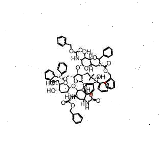 CC(C)(C[C@H]1[C@H](O[C@@H]2[C@H]3OC(=O)N[C@@H]3C[C@H](N)[C@H]2O[C@H]2O[C@H](CO)[C@@H](O)C[C@H]2NC(=O)OCc2ccccc2)O[C@H](CO[Si](c2ccccc2)(c2ccccc2)C(C)(C)C)[C@H]1O[C@H]1O[C@H]2CN(C(=O)OCc3ccccc3)C(c3ccccc3)O[C@H]2[C@H](O)[C@H]1NC(=O)OCc1ccccc1)[Si](O)(c1ccccc1)c1ccccc1